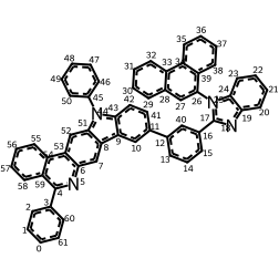 c1ccc(-c2nc3cc4c5cc(-c6cccc(-c7nc8ccccc8n7-c7cc8ccccc8c8ccccc78)c6)ccc5n(-c5ccccc5)c4cc3c3ccccc23)cc1